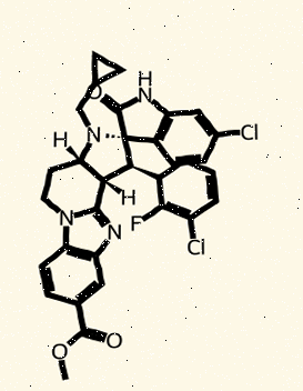 COC(=O)c1ccc2c(c1)nc1n2CC[C@H]2[C@@H]1[C@H](C1CC=CC(Cl)=C1F)[C@]1(C(=O)Nc3cc(Cl)ccc31)N2CC1CC1